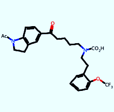 CC(=O)N1CCc2cc(C(=O)CCCCN(CCc3ccccc3OC(F)(F)F)C(=O)O)ccc21